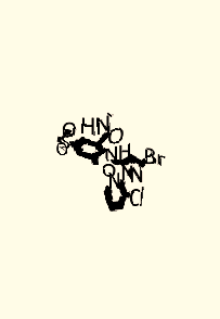 CNC(=O)c1cc(S(C)(=O)=O)cc(C)c1NC(=O)c1cc(Br)nn1-c1ncccc1Cl